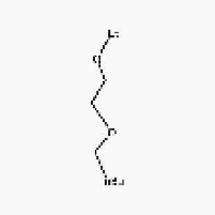 [CH2]CCCCOCCOC[CH2]